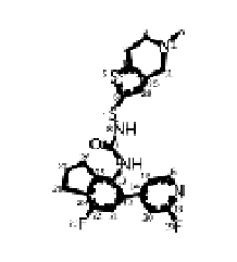 CN1CCc2sc(SNC(=O)Nc3c(-c4ccnc(F)c4)cc(F)c4c3CCC4)cc2C1